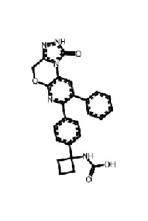 O=C(O)NC1(c2ccc(-c3nc4c(cc3-c3ccccc3)-n3c(n[nH]c3=O)CO4)cc2)CCC1